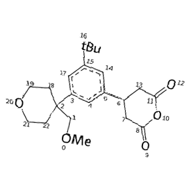 COCC1(c2cc(C3CC(=O)OC(=O)C3)cc(C(C)(C)C)c2)CCOCC1